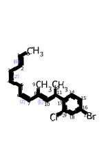 C/C=C/C=C\C/C=C\C(C)=C\C(C)c1ccc(Br)cc1Cl